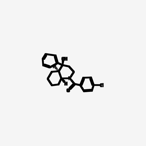 O=C(c1ccc(Cl)cc1)N1CC[C@@](O)(c2ccccc2)[C@@H]2CCCC[C@H]21